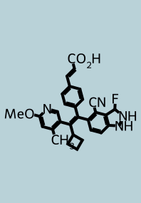 COc1cc(C)c(/C(=C(\c2ccc(/C=C/C(=O)O)cc2)c2ccc3c(c2C#N)C(F)NN3)C2CCC2)cn1